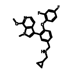 COc1nccc2c(-c3cc(CNCC4CC4)ccc3Oc3ccc(F)cc3F)cn(C)c12